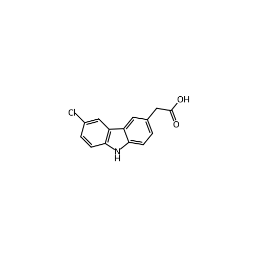 O=C(O)Cc1ccc2[nH]c3ccc(Cl)cc3c2c1